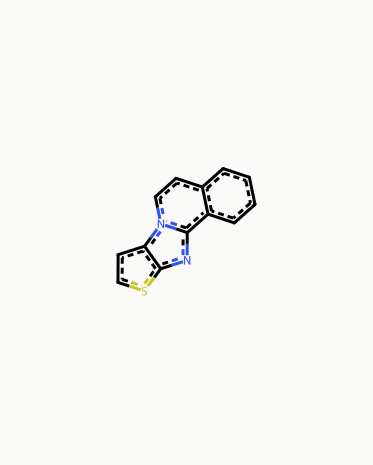 c1ccc2c(c1)ccn1c3ccsc3nc21